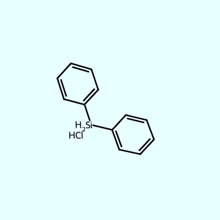 Cl.c1ccc([SiH2]c2ccccc2)cc1